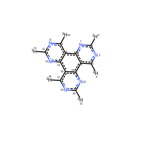 [2H]c1nc([2H])c2c(n1)c1c([2H])nc([2H])nc1c1c([2H])nc([2H])nc21